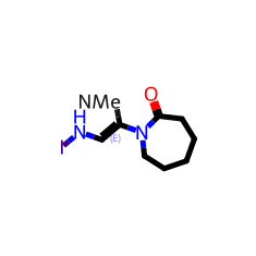 CN/C(=C\NI)N1CCCCCC1=O